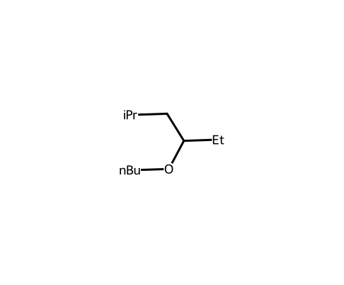 [CH2]CC(CC(C)C)OCCCC